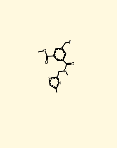 COC(=O)c1cc(CF)cc(C(=O)N(C)Cc2nc(C)cs2)c1